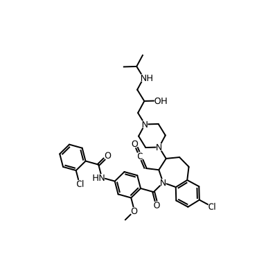 COc1cc(NC(=O)c2ccccc2Cl)ccc1C(=O)N1c2ccc(Cl)cc2CCC(N2CCN(CC(O)CNC(C)C)CC2)C1C=C=O